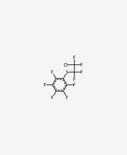 Fc1c(F)c(F)c(SC(F)(F)C(F)(F)Cl)c(F)c1F